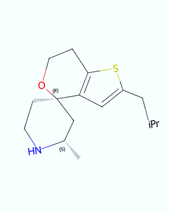 CC(C)Cc1cc2c(s1)CCO[C@@]21CCN[C@@H](C)C1